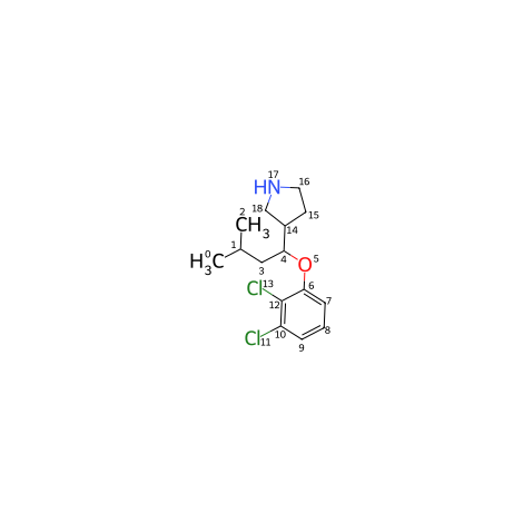 CC(C)CC(Oc1cccc(Cl)c1Cl)C1CCNC1